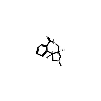 CN1C[C@@H]2CNC(=O)c3ccccc3[C@H]2C1